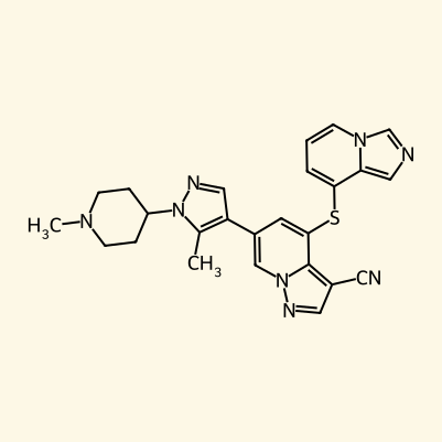 Cc1c(-c2cc(Sc3cccn4cncc34)c3c(C#N)cnn3c2)cnn1C1CCN(C)CC1